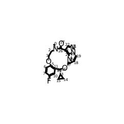 CN1CCOc2ccc(F)cc2[C@@H](C2CC2)Oc2ccn3ncc(c3n2)C1=O